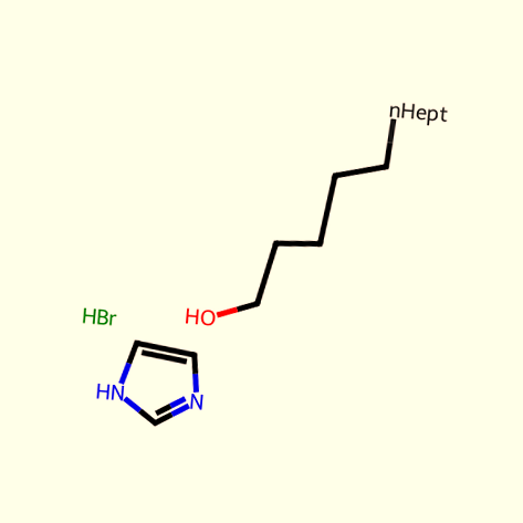 Br.CCCCCCCCCCCCO.c1c[nH]cn1